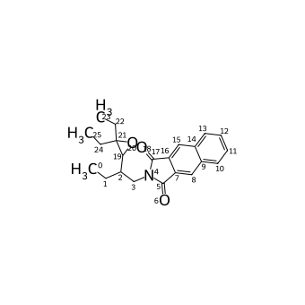 CCC(CN1C(=O)c2cc3ccccc3cc2C1=O)C1OC1(CC)CC